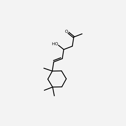 CC(=O)CC(O)C=CC1(C)CCCC(C)(C)C1